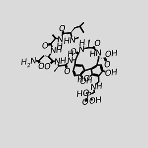 CN[C@H](CC(C)C)C(=O)NC(C)C(=O)N[C@@H](CC(N)=O)C(=O)N[C@H](C)C(=O)N[C@H]1C(=O)N[C@@H](C)C(=O)N[C@H](C(=O)O)c2cc(O)c(CNCP(=O)(O)O)c(O)c2-c2cc1ccc2O